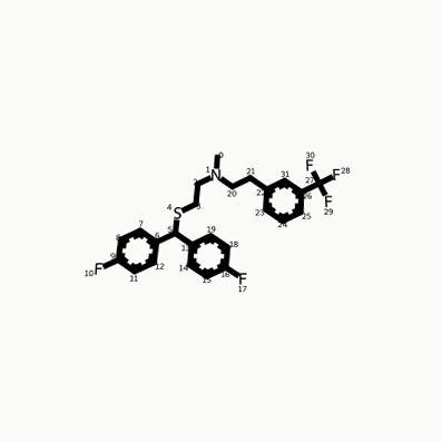 CN(CCSC(c1ccc(F)cc1)c1ccc(F)cc1)CCc1cccc(C(F)(F)F)c1